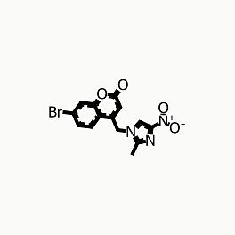 Cc1nc([N+](=O)[O-])cn1Cc1cc(=O)oc2cc(Br)ccc12